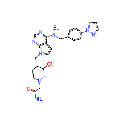 CCN(Cc1ccc(-n2cccn2)cc1)c1ncnc2c1ccn2C[C@H]1CCN(CC(N)=O)C[C@@H]1O